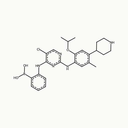 Cc1cc(Nc2ncc(Cl)c(Nc3ccccc3B(O)O)n2)c(OC(C)C)cc1C1CCNCC1